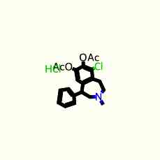 CC(=O)Oc1cc2c(c(Cl)c1OC(C)=O)CCN(C)CC2c1ccccc1.Cl